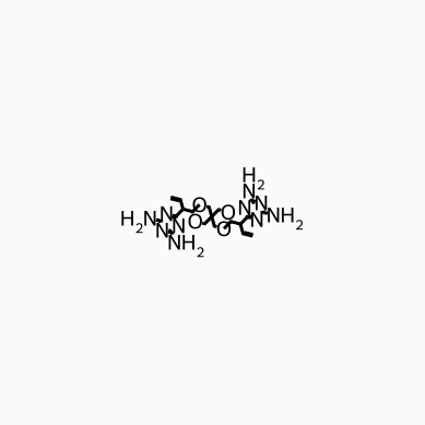 C=CC(c1nc(N)nc(N)n1)C1OCC2(CO1)COC(C(C=C)c1nc(N)nc(N)n1)OC2